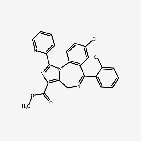 COC(=O)c1nc(-c2ccccn2)n2c1CN=C(c1ccccc1Cl)c1cc(Cl)ccc1-2